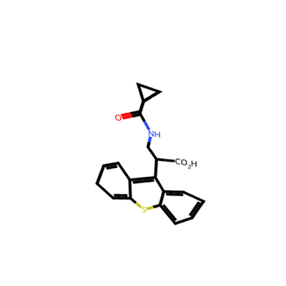 O=C(NCC(C(=O)O)C1=C2C=CCC=C2Sc2ccccc21)C1CC1